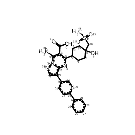 CC(=O)c1c(C2CCC(O)(CS(C)(=O)=O)CC2)nc2c(-c3ccc(-c4ccccc4)nc3)cnn2c1N